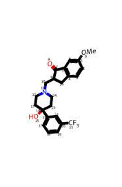 COc1ccc2c(c1)C(=O)C(CN1CCC(O)(c3cccc(C(F)(F)F)c3)CC1)C2